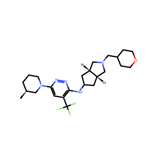 C[C@H]1CCCN(c2cc(C(F)(F)F)c(NC3C[C@@H]4CN(CC5CCOCC5)C[C@@H]4C3)nn2)C1